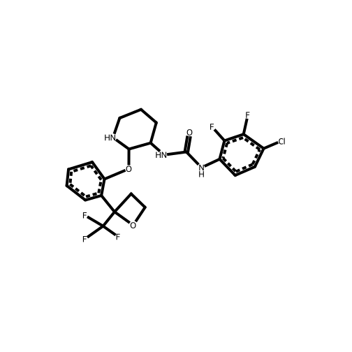 O=C(Nc1ccc(Cl)c(F)c1F)NC1CCCNC1Oc1ccccc1C1(C(F)(F)F)CCO1